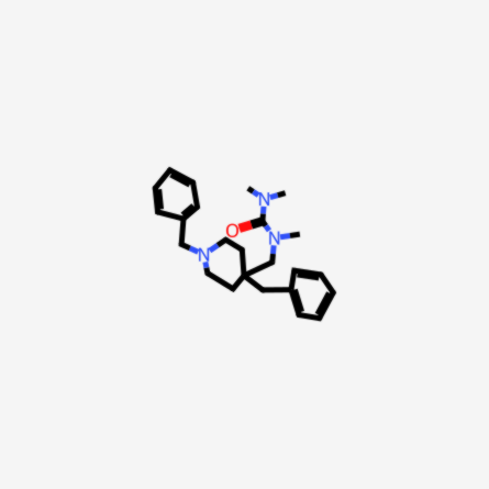 CN(C)C(=O)N(C)CC1(Cc2ccccc2)CCN(Cc2ccccc2)CC1